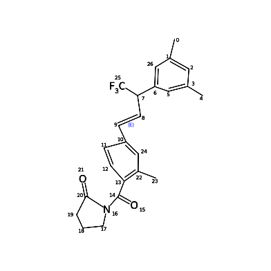 Cc1cc(C)cc(C(/C=C/c2ccc(C(=O)N3CCCC3=O)c(C)c2)C(F)(F)F)c1